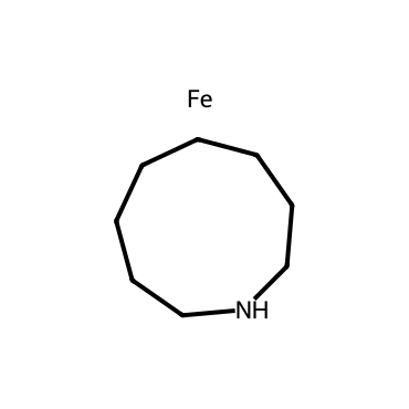 C1CCCCNCCC1.[Fe]